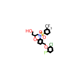 O=S(=O)(c1cccc(C(F)(F)F)c1)N1CC(CCO)Oc2ccc(COc3c(F)cccc3Cl)cc21